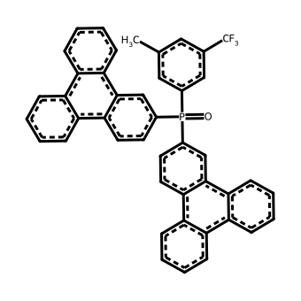 Cc1cc(C(F)(F)F)cc(P(=O)(c2ccc3c4ccccc4c4ccccc4c3c2)c2ccc3c4ccccc4c4ccccc4c3c2)c1